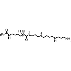 CCCC(=O)NCCCC[C@@H](N)C(=O)NCCCNCCCCNCCCN